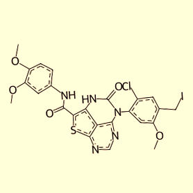 COc1cc(N2C(=O)Nc3c(C(=O)Nc4ccc(OC)c(OC)c4)sc4ncnc2c34)c(Cl)cc1CI